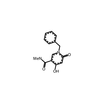 CNC(=O)c1cn(Cc2ccccc2)c(=O)cc1O